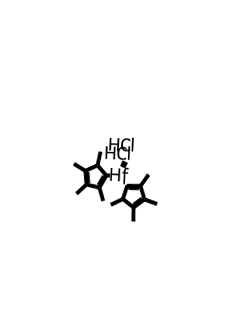 Cl.Cl.[CH2]=[Hf]([C]1=C(C)C(C)=C(C)C1C)[C]1=C(C)C(C)=C(C)C1C